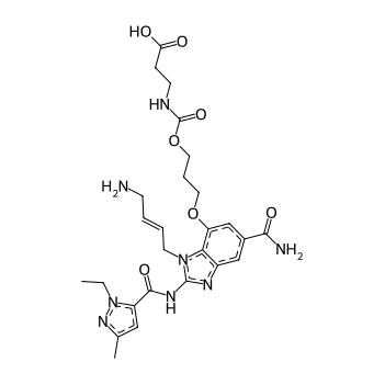 CCn1nc(C)cc1C(=O)Nc1nc2cc(C(N)=O)cc(OCCCOC(=O)NCCC(=O)O)c2n1CC=CCN